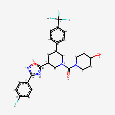 O=C(N1CCC(O)CC1)N1CC(c2ccc(C(F)(F)F)cc2)CC(c2nc(-c3ccc(F)cc3)no2)C1